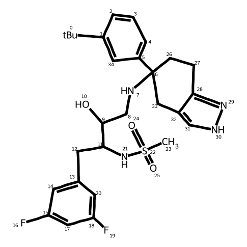 CC(C)(C)c1cccc(C2(NCC(O)C(Cc3cc(F)cc(F)c3)NS(C)(=O)=O)CCc3n[nH]cc3C2)c1